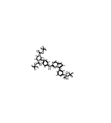 CC(C)(C)NS(=O)(=O)c1cccc(-c2ccc3cnc(Nc4ccc(C5CN(C(=O)OC(C)(C)C)CCN5C(=O)OC(C)(C)C)cc4)nn23)c1